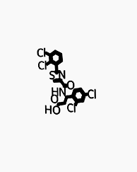 O=C(O)CC(NC(=O)c1csc(-c2cccc(Cl)c2Cl)n1)c1ccc(Cl)cc1Cl